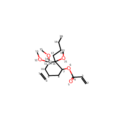 C=C.C=CC(=O)OC1CCC[Si](OC)(OC)C1(CCCC)OC